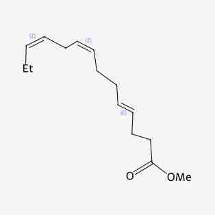 CC/C=C\C/C=C\CC/C=C/CCC(=O)OC